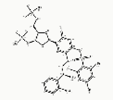 CC(C)c1cc(C(C)C)c(S(=O)(=O)Oc2nc(=O)n([C@H]3C[C@@H](O[Si](C)(C)C(C)(C)C)[C@@H](CO[Si](C)(C)C(C)(C)C)O3)cc2CO[C@H](c2ccccc2[N+](=O)[O-])C(C)(C)C)c(C(C)C)c1